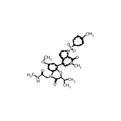 CNC(=O)CN1C(=O)C(C(C)C)Oc2c(-c3cn(C)c(=O)c4c3ccn4S(=O)(=O)c3ccc(C)cc3)cc(OC)cc21